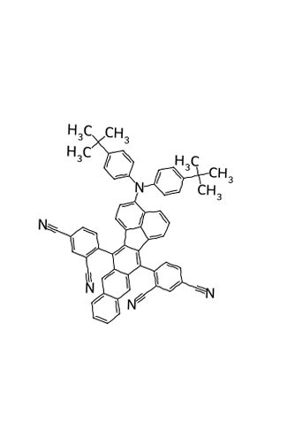 CC(C)(C)c1ccc(N(c2ccc(C(C)(C)C)cc2)c2ccc3c4c(cccc24)-c2c-3c(-c3ccc(C#N)cc3C#N)c3cc4ccccc4cc3c2-c2ccc(C#N)cc2C#N)cc1